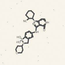 N#CC1CCCCC1n1nc(Nc2ccc3c(c2)CN(C2CCOCC2)S3(O)O)c2c(=O)[nH]ccc21